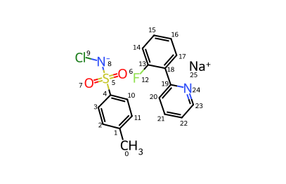 Cc1ccc(S(=O)(=O)[N-]Cl)cc1.Fc1ccccc1-c1ccccn1.[Na+]